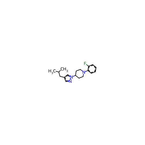 CC(C)Cc1cnn(C2CCN(c3ccccc3F)CC2)c1